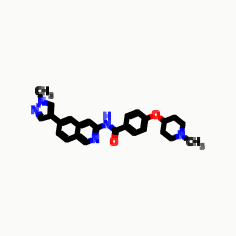 CN1CCC(Oc2ccc(C(=O)Nc3cc4cc(-c5cnn(C)c5)ccc4cn3)cc2)CC1